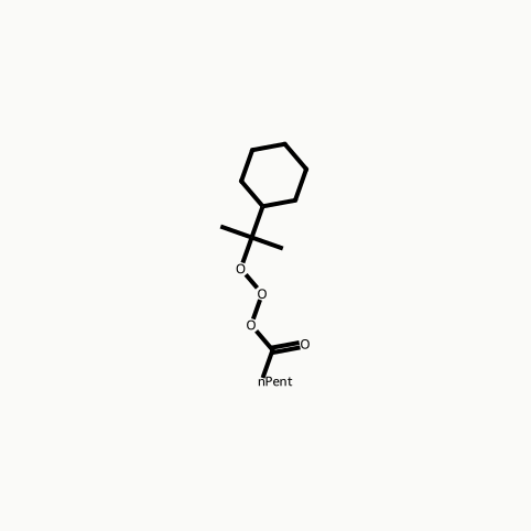 CCCCCC(=O)OOOC(C)(C)C1CCCCC1